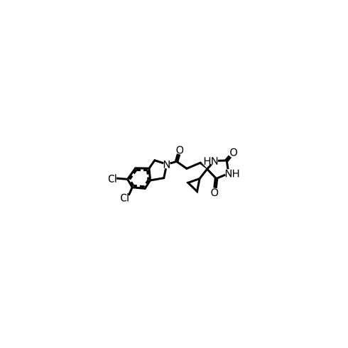 O=C1NC(=O)[C@](CCC(=O)N2Cc3cc(Cl)c(Cl)cc3C2)(C2CC2)N1